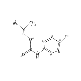 CC(C)C(C)COC(=O)Nc1ccc(F)cc1